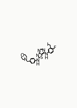 Fc1ccc(Nc2ncnc3nc(Nc4ccc(CN5CCOCC5)cc4)sc23)cc1CI